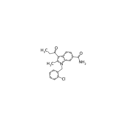 CCC(=O)c1c(C)n(Cc2ccccc2Cl)c2cc(C(N)=O)ccc12